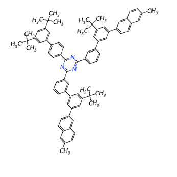 Cc1ccc2cc(-c3cc(-c4cccc(-c5nc(-c6ccc(-c7cc(C(C)(C)C)cc(C(C)(C)C)c7)cc6)nc(-c6cccc(-c7cc(-c8ccc9cc(C)ccc9c8)cc(C(C)(C)C)c7)c6)n5)c4)cc(C(C)(C)C)c3)ccc2c1